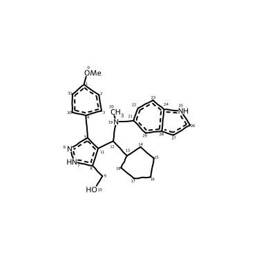 COc1ccc(-c2n[nH]c(CO)c2C(C2CCCCC2)N(C)c2ccc3[nH]ccc3c2)cc1